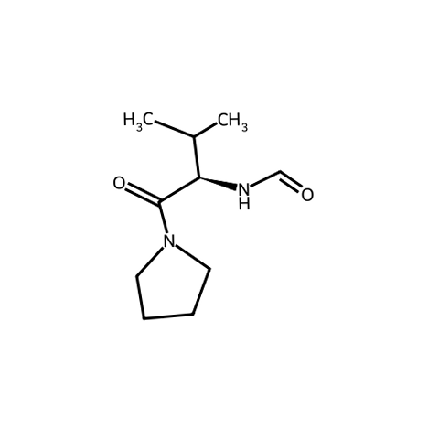 CC(C)[C@@H](NC=O)C(=O)N1CCCC1